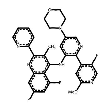 COc1cc(-c2ncc(N3CCOCC3)cc2Nc2c(C)c(-c3ccccn3)nc3cc(F)cc(F)c23)c(F)cn1